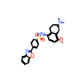 COc1ccc(NS(=O)(=O)c2ccc(-c3nc4ccccc4o3)cc2)c2c1C[C@@H](N(C)C)CC2